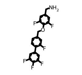 NCc1cc(F)c(OCc2ccc(-c3cc(F)c(F)c(F)c3)c(F)c2)c(F)c1